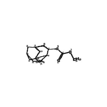 COC(=O)OC1CC2CC3CCC1C(C)(C3)C2